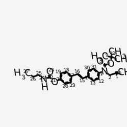 C#CCN(C(=O)OC(C)(C)C)c1ccc(/C=C/c2ccc(OC(=O)NCCC)cc2)cc1